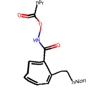 CCCCCCCCCCc1ccccc1C(=O)NOC(=O)CCC